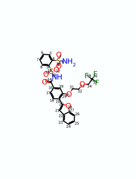 NS(=O)(=O)c1ccccc1S(=O)(=O)NC(=O)c1ccc(-c2cc3ccccc3o2)c(OCCOCC(F)(F)F)c1